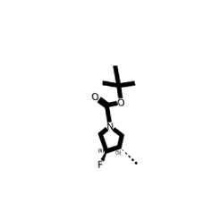 C[C@H]1CN(C(=O)OC(C)(C)C)C[C@@H]1F